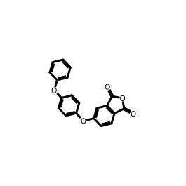 O=C1OC(=O)c2cc(Oc3ccc(Oc4ccccc4)cc3)ccc21